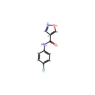 O=C(Nc1ccc(Cl)cc1)c1cnoc1